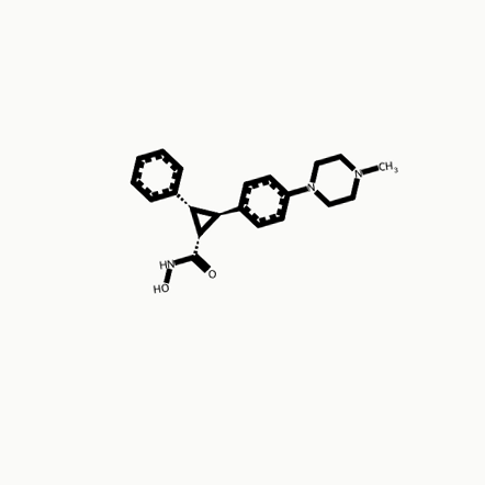 CN1CCN(c2ccc([C@H]3[C@H](C(=O)NO)[C@@H]3c3ccccc3)cc2)CC1